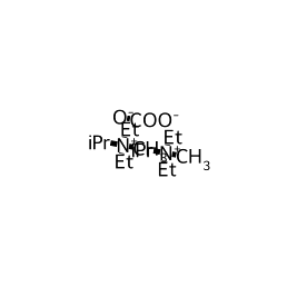 CC[N+](C)(CC)C(C)C.CC[N+](C)(CC)C(C)C.O=C([O-])[O-]